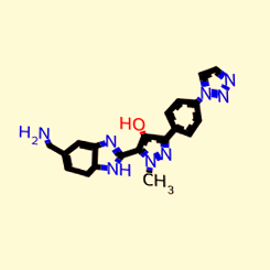 Cn1nc(-c2ccc(-n3ccnn3)cc2)c(O)c1C1=NC2=CC(CN)=CCC2N1